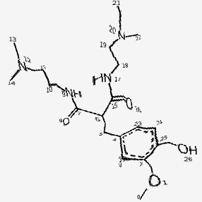 COc1cc(CC(C(=O)NCCN(C)C)C(=O)NCCN(C)C)ccc1O